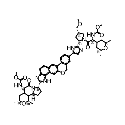 COC[C@H]1C[C@@H](c2ncc(-c3ccc4c(c3)COc3cc5c(ccc6nc([C@@H]7CC[C@@H]8C9C(C[C@@H](C)O[C@@H]9C)[C@H](NC(=O)OC)C(=O)N87)[nH]c65)cc3-4)[nH]2)N(C(=O)[C@@H](NC(=O)OC)C2C[C@@H](C)O[C@H](C)C2)C1